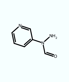 NN(C=O)c1cccnc1